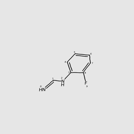 N=[C]Nc1ccccc1F